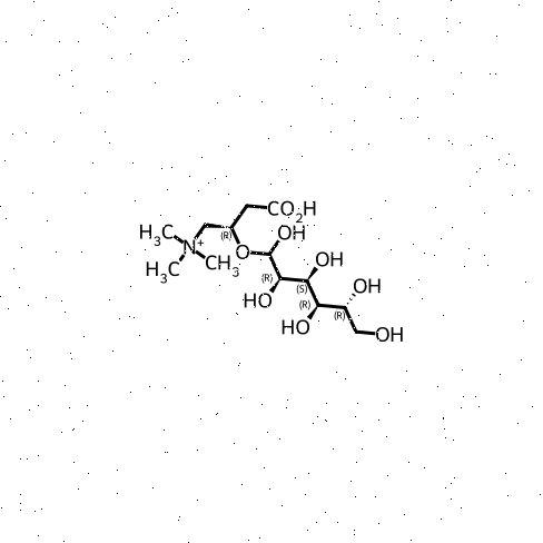 C[N+](C)(C)C[C@@H](CC(=O)O)OC(O)[C@H](O)[C@@H](O)[C@H](O)[C@H](O)CO